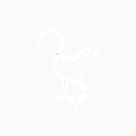 NCC1(Cc2nnn[nH]2)CCCC1